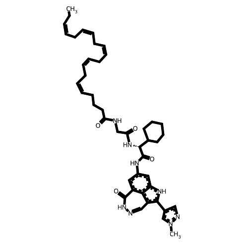 CC/C=C\C/C=C\C/C=C\C/C=C\C/C=C\CCCC(=O)NCC(=O)N[C@@H](C(=O)Nc1cc2c3c(c(-c4cnn(C)c4)[nH]c3c1)C=NNC2=O)C1CCCCC1